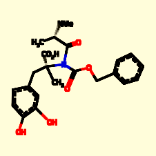 CN[C@@H](C)C(=O)N(C(=O)OCc1ccccc1)[C@@](C)(Cc1ccc(O)c(O)c1)C(=O)O